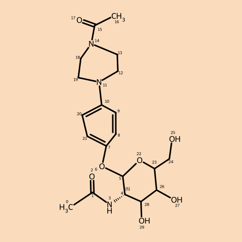 CC(=O)N[C@@H]1C(Oc2ccc(N3CCN(C(C)=O)CC3)cc2)OC(CO)C(O)C1O